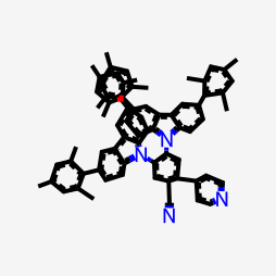 Cc1cc(C)c(-c2ccc3c(c2)c2cc(-c4c(C)cc(C)cc4C)ccc2n3-c2cc(C#N)c(-c3ccncc3)cc2-n2c3ccc(-c4c(C)cc(C)cc4C)cc3c3cc(-c4c(C)cc(C)cc4C)ccc32)c(C)c1